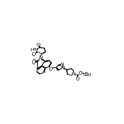 CC(C)(C)OC(=O)N1CCC(n2cc(Oc3ccc4c5c(cccc35)C(=O)N4C3CCC(=O)NC3=O)cn2)CC1